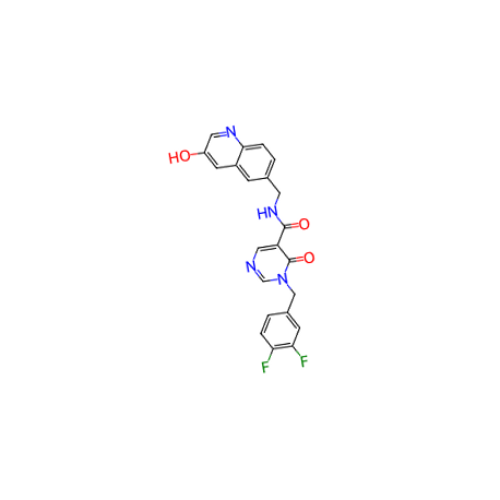 O=C(NCc1ccc2ncc(O)cc2c1)c1cncn(Cc2ccc(F)c(F)c2)c1=O